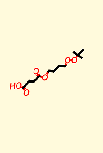 CC(C)(C)OOCCCCOC(=O)C=CC(=O)O